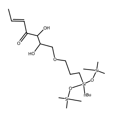 CC=CC(=O)C(O)C(O)COCCC[Si](CCCC)(O[Si](C)(C)C)O[Si](C)(C)C